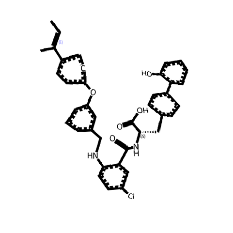 C/C=C(\C)c1ccc(Oc2cccc(CNc3ccc(Cl)cc3C(=O)N[C@@H](Cc3ccc(-c4ccccc4O)cc3)C(=O)O)c2)cc1